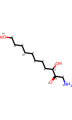 NCC(=O)C(O)CCCCCCCCO